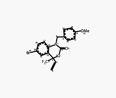 C=CC1(C(F)(F)F)OC(=O)N(Cc2ccc(OC)cc2)c2ccc(Br)cc21